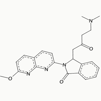 COc1ccc2ccc(N3C(=O)c4ccccc4C3CC(=O)CCN(C)C)nc2n1